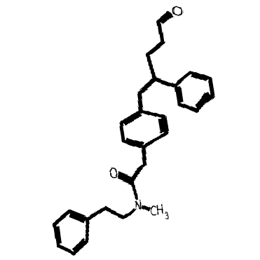 CN(CCc1ccccc1)C(=O)Cc1ccc(CC(CCC=O)c2ccccc2)cc1